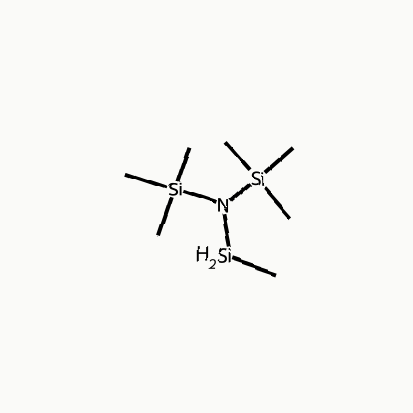 C[SiH2]N([Si](C)(C)C)[Si](C)(C)C